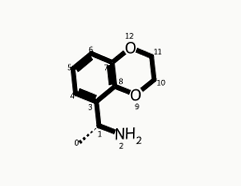 C[C@@H](N)c1cccc2c1OCCO2